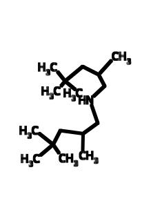 CC(CNCC(C)CC(C)(C)C)CC(C)(C)C